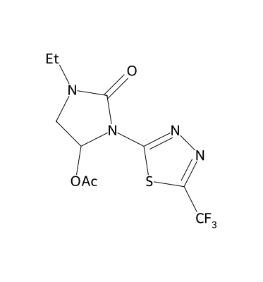 CCN1CC(OC(C)=O)N(c2nnc(C(F)(F)F)s2)C1=O